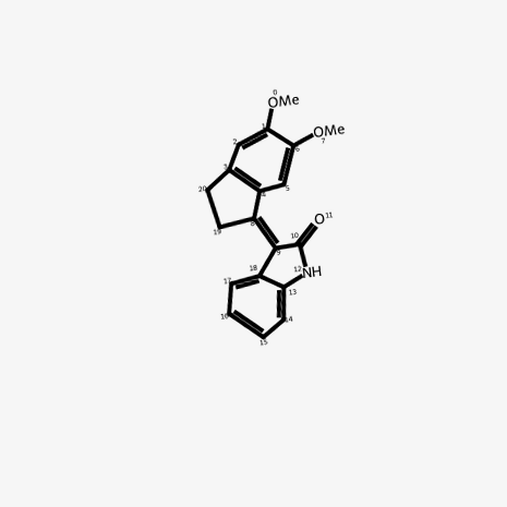 COc1cc2c(cc1OC)C(=C1C(=O)Nc3ccccc31)CC2